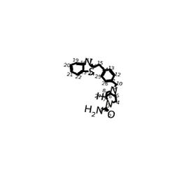 NC(=O)N1CC2C[C@H]1CN2Cc1ccc(Cc2nc3ccccc3s2)cc1